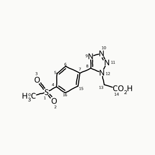 CS(=O)(=O)c1ccc(-c2nnnn2CC(=O)O)cc1